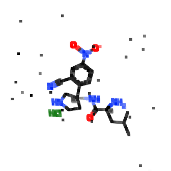 CC(C)C[C@H](N)C(=O)N[C@]1(c2ccc([N+](=O)[O-])cc2C#N)CCNC1.Cl